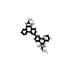 Cc1nc2c3ccccc3c3cc(-c4ccc5c(c4)c4ncccc4c4nc(C)[nH]c54)ccc3c2[nH]1